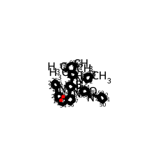 Cc1ccc(Nc2cc3c(cc2-c2cc(-n4c5ccccc5c5ccccc54)c4c5c6ccccc6ccc5n5c4c2Bc2cc4oc(-c6ccccc6)nc4cc2-5)C(C)(C)CCC3(C)C)cc1